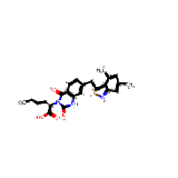 CCCC[C@H](C(=O)O)n1c(=O)[nH]c2cc(Cc3snc4cc(C)cc(C)c34)ccc2c1=O